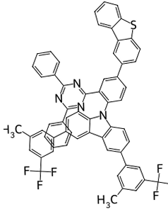 Cc1cc(-c2ccc3c(c2)c2cc(-c4cc(C)cc(C(F)(F)F)c4)ccc2n3-c2ccc(-c3ccc4sc5ccccc5c4c3)cc2-c2nc(-c3ccccc3)nc(-c3ccccc3)n2)cc(C(F)(F)F)c1